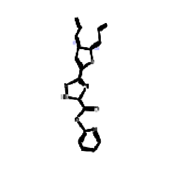 C=C/C=c1/cc(C2=NC(C(=O)Oc3ccccn3)BS2)o/c1=C/C=C